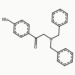 CC(C)(C)c1ccc(C(=O)CN(Cc2ccccc2)Cc2ccccc2)cc1